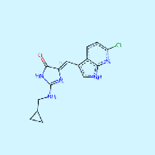 O=C1NC(NCC2CC2)=N/C1=C\c1c[nH]c2nc(Cl)ccc12